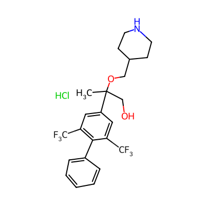 CC(CO)(OCC1CCNCC1)c1cc(C(F)(F)F)c(-c2ccccc2)c(C(F)(F)F)c1.Cl